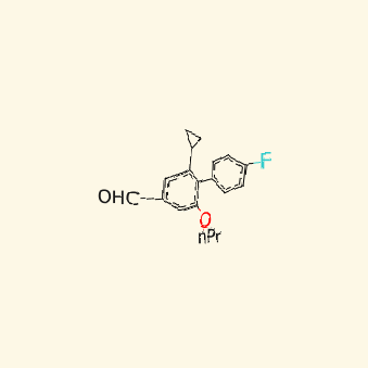 CCCOc1cc(C=O)cc(C2CC2)c1-c1ccc(F)cc1